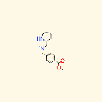 COC(=O)c1ccc(CN(C)CC2CCCCN2)cc1